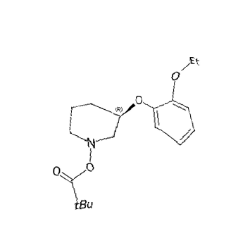 CCOc1ccccc1O[C@@H]1CCCN(OC(=O)C(C)(C)C)C1